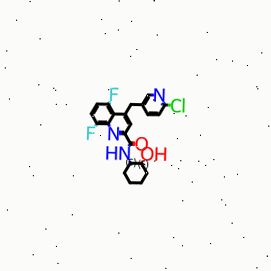 O=C(N[C@H]1CCCC[C@@H]1O)c1cc(Cc2ccc(Cl)nc2)c2c(F)ccc(F)c2n1